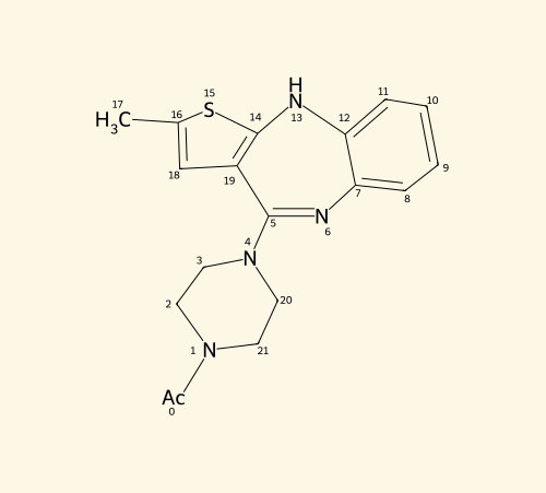 CC(=O)N1CCN(C2=Nc3ccccc3Nc3sc(C)cc32)CC1